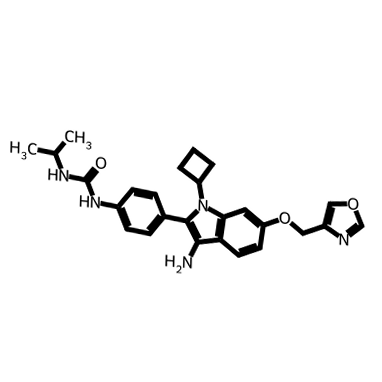 CC(C)NC(=O)Nc1ccc(-c2c(N)c3ccc(OCc4cocn4)cc3n2C2CCC2)cc1